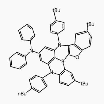 CCCCc1ccc(N2c3ccc(C(C)(C)C)cc3B3c4oc5ccc(C(C)(C)C)cc5c4N(c4ccc(C(C)(C)C)cc4)c4cc(N(c5ccccc5)c5ccccc5)cc2c43)cc1